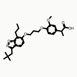 CCCc1c(OCCCOc2ccc(C(C)C(=O)O)cc2OC)ccc2c(CC(C)(C)C)noc12